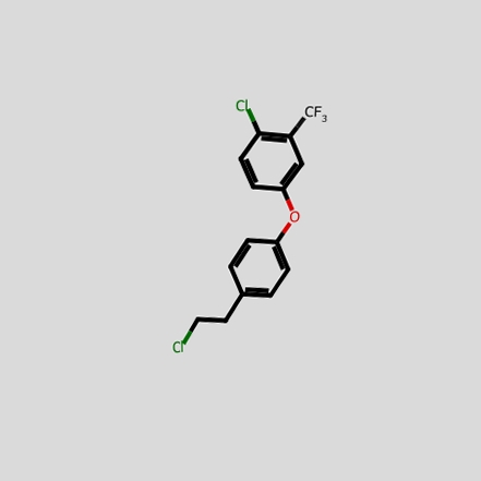 FC(F)(F)c1cc(Oc2ccc(CCCl)cc2)ccc1Cl